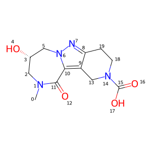 CN1C[C@H](O)Cn2nc3c(c2C1=O)CN(C(=O)O)CC3